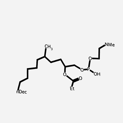 CCCCCCCCCCCCCCCC(C)CCC(COP(O)OCCNC)OC(=O)CC